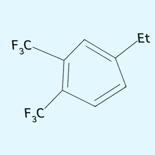 CCc1ccc(C(F)(F)F)c(C(F)(F)F)c1